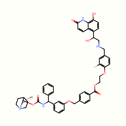 O=C(NC(c1ccccc1)c1cccc(OCc2ccc(C(=O)OCCOc3ccc(CNCC(O)c4ccc(O)c5[nH]c(=O)ccc45)cc3F)cc2)c1)O[C@H]1CN2CCC1CC2